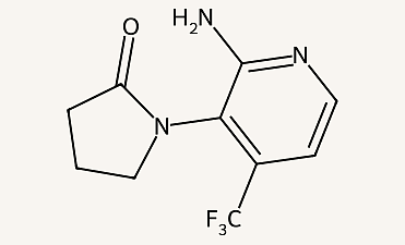 Nc1nccc(C(F)(F)F)c1N1CCCC1=O